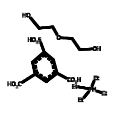 CC[PH](CC)(CC)CC.O=C(O)c1cc(C(=O)O)cc(S(=O)(=O)O)c1.OCCOCCO